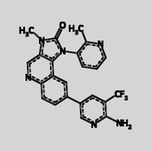 Cc1ncccc1-n1c(=O)n(C)c2cnc3ccc(-c4cnc(N)c(C(F)(F)F)c4)cc3c21